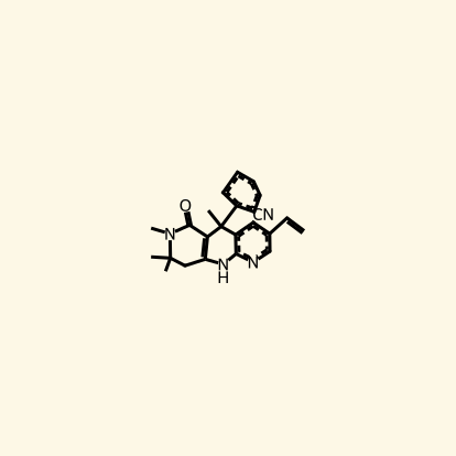 C=Cc1cnc2c(c1C#N)C(C)(c1ccccc1)C1=C(CC(C)(C)N(C)C1=O)N2